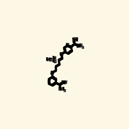 Cl.Cl.N=C(N)c1cccc(OCCCCCOc2ccc(C(=N)N)nc2)c1